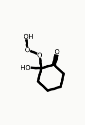 O=C1CCCCC1(O)OOO